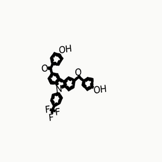 O=C(c1ccc(O)cc1)c1ccc2c(c1)c1cc(C(=O)c3ccc(O)cc3)ccc1n2-c1ccc(C(F)(F)F)cc1